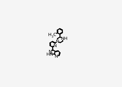 Cc1ccccc1C1CN(c2cccc(-c3n[nH]c4ncccc34)n2)CCN1